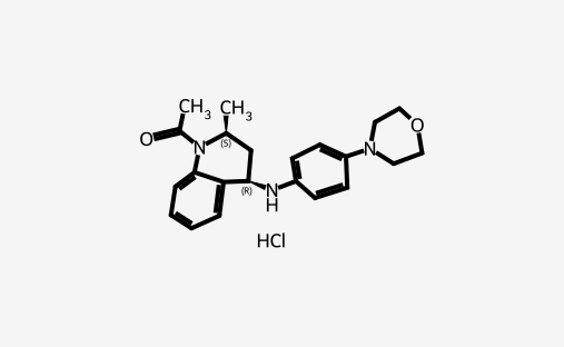 CC(=O)N1c2ccccc2[C@H](Nc2ccc(N3CCOCC3)cc2)C[C@@H]1C.Cl